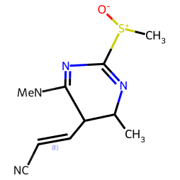 CNC1=NC([S+](C)[O-])=NC(C)C1/C=C/C#N